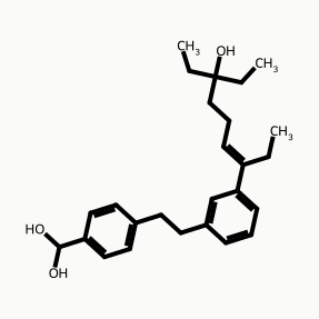 CCC(=CCCC(O)(CC)CC)c1cccc(CCc2ccc(C(O)O)cc2)c1